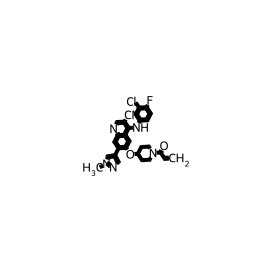 C=CC(=O)N1CCC(Oc2cc3c(Nc4ccc(F)c(Cl)c4)c(C#N)cnc3cc2-c2cnn(C)c2)CC1